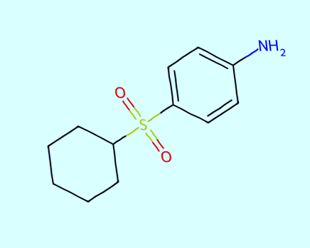 Nc1ccc(S(=O)(=O)C2CCCCC2)cc1